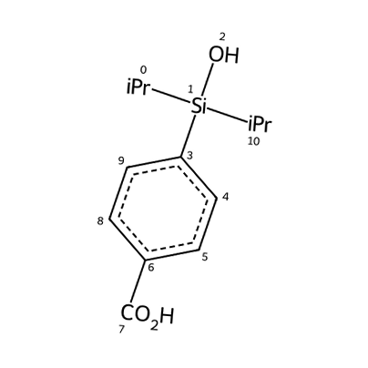 CC(C)[Si](O)(c1ccc(C(=O)O)cc1)C(C)C